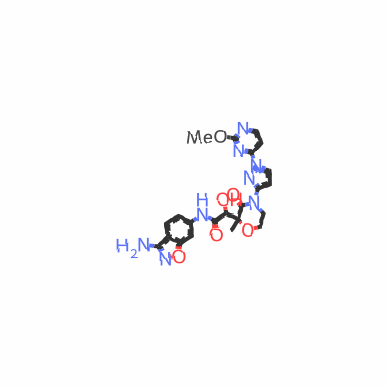 COc1nccc(-n2ccc(N3CCOC(C)(C(O)C(=O)Nc4ccc5c(N)noc5c4)C3=O)n2)n1